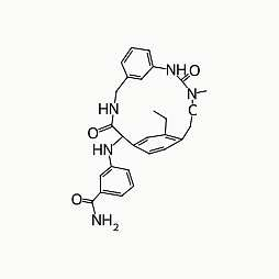 CCc1cc2ccc1CCN(C)C(=O)Nc1cccc(c1)CNC(=O)C2Nc1cccc(C(N)=O)c1